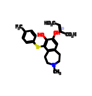 CN1CCc2cc(O)c(O)c(Sc3ccc(C(F)(F)F)cc3)c2CC1.O=C(O)/C=C/C(=O)O